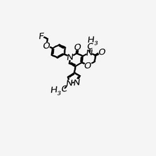 CN1C(=O)COc2c(-c3cnn(C)c3)cn(-c3ccc(OCF)cc3)c(=O)c21